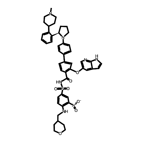 CN1CCC(c2ccccc2[C@H]2CCCN2c2ccc(-c3ccc(C(=O)NS(=O)(=O)c4ccc(NCC5CCOCC5)c([N+](=O)[O-])c4)c(Oc4cnc5[nH]ccc5c4)c3)cc2)CC1